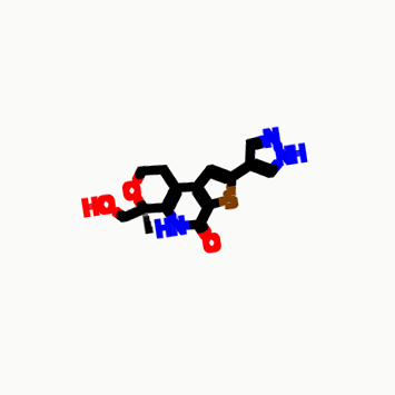 C[C@]1(CO)OCCc2c1[nH]c(=O)c1sc(-c3cn[nH]c3)cc21